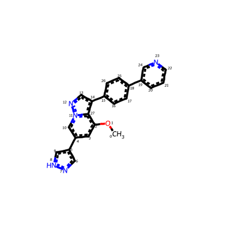 COc1cc(-c2cn[nH]c2)cn2ncc(-c3ccc(-c4cccnc4)cc3)c12